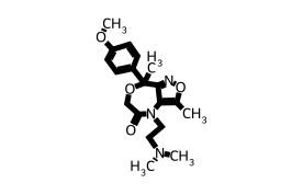 COc1ccc(C2(C)OCC(=O)N(CCN(C)C)c3c2noc3C)cc1